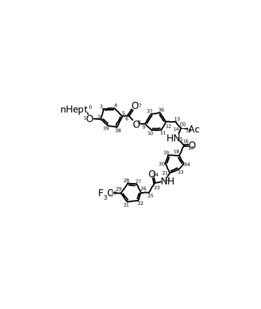 CCCCCCCOc1ccc(C(=O)Oc2ccc(C[C@H](NC(=O)c3ccc(NC(=O)Cc4ccc(C(F)(F)F)cc4)cc3)C(C)=O)cc2)cc1